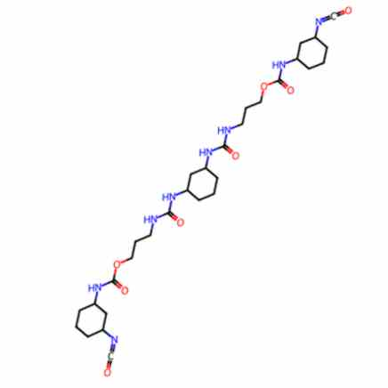 O=C=NC1CCCC(NC(=O)OCCCNC(=O)NC2CCCC(NC(=O)NCCCOC(=O)NC3CCCC(N=C=O)C3)C2)C1